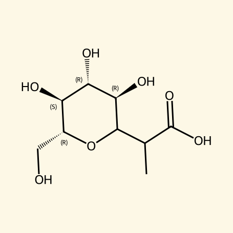 CC(C(=O)O)C1O[C@H](CO)[C@@H](O)[C@H](O)[C@H]1O